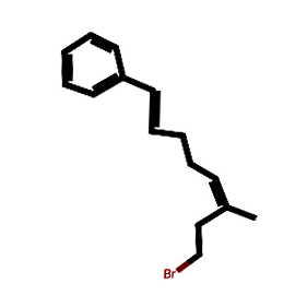 CC(=CCCC=Cc1ccccc1)CCBr